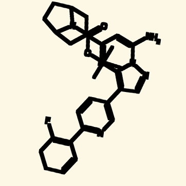 CC(C)(C)OC(=O)N1C2CCC1CC(c1cc(N)n3ncc(-c4ccc(C5=C(F)CCC=C5)nc4)c3n1)C2